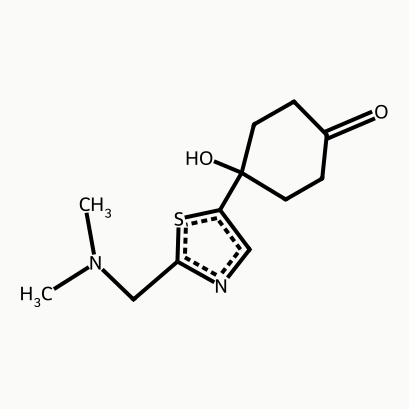 CN(C)Cc1ncc(C2(O)CCC(=O)CC2)s1